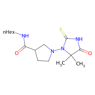 CCCCCCNC(=O)C1CCN(N2C(=S)NC(=O)C2(C)C)C1